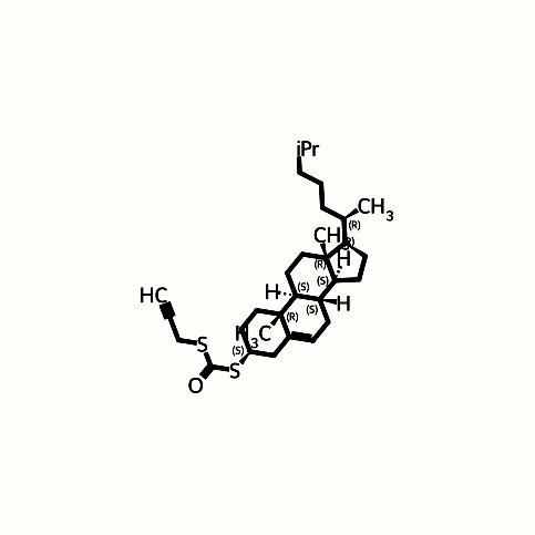 C#CCSC(=O)S[C@H]1CC[C@@]2(C)C(=CC[C@H]3[C@@H]4CC[C@H]([C@H](C)CCCC(C)C)[C@@]4(C)CC[C@@H]32)C1